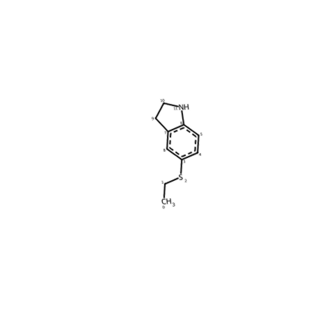 CCSc1ccc2c(c1)CCN2